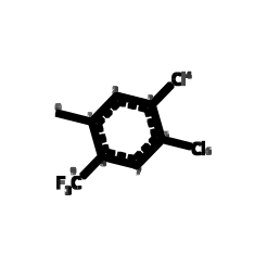 Cc1cc(Cl)c(Cl)cc1C(F)(F)F